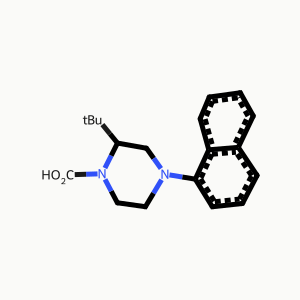 CC(C)(C)C1CN(c2cccc3ccccc23)CCN1C(=O)O